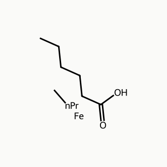 CCCC.CCCCCC(=O)O.[Fe]